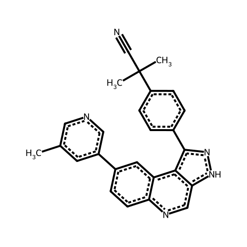 Cc1cncc(-c2ccc3ncc4[nH]nc(-c5ccc(C(C)(C)C#N)cc5)c4c3c2)c1